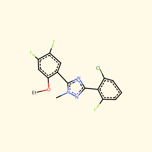 CCOc1cc(F)c(F)cc1-c1nc(-c2c(F)cccc2Cl)nn1C